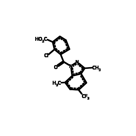 Cc1nn(C(=O)c2cccc(C(=O)O)c2Cl)c2c(C)cc(C(F)(F)F)cc12